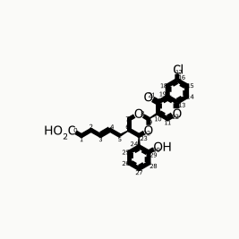 O=C(O)CCC=CC[C@H]1CO[C@@H](c2coc3ccc(Cl)cc3c2=O)O[C@H]1c1ccccc1O